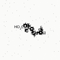 O=C(O)c1ccc2nc(C[C@H]3CC=C(c4ncc(F)c(OCc5ccc(Cl)c6cc(F)oc56)n4)CC3)n(C[C@@H]3CCO3)c2n1